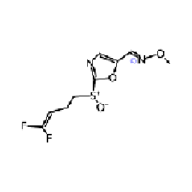 CO/N=C/c1cnc([S+]([O-])CCC=C(F)F)o1